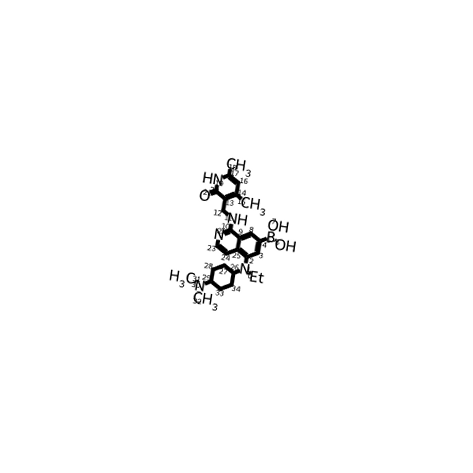 CCN(c1cc(B(O)O)cc2c(NCc3c(C)cc(C)[nH]c3=O)nccc12)C1CCC(N(C)C)CC1